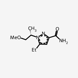 CCc1cc(C(N)=O)nn1[C@@H](C)COC